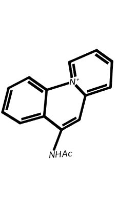 CC(=O)Nc1cc2cccc[n+]2c2ccccc12